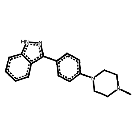 CN1CCN(c2ccc(-c3n[nH]c4ccccc34)cc2)CC1